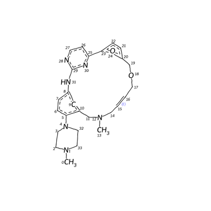 CN1CCN(c2ccc3cc2CN(C)C/C=C/COCc2ccc(o2)-c2ccnc(n2)N3)CC1